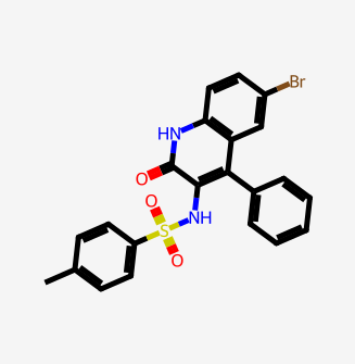 Cc1ccc(S(=O)(=O)Nc2c(-c3ccccc3)c3cc(Br)ccc3[nH]c2=O)cc1